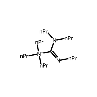 CCC/N=C(\N(CCC)CCC)[N+](CCC)(CCC)CCC